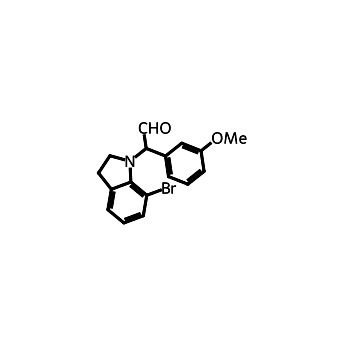 COc1cccc(C(C=O)N2CCc3cccc(Br)c32)c1